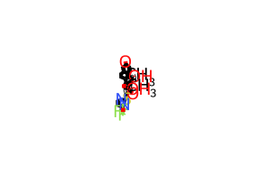 CC12C=CC(=O)C=C1CCC1C2[C@@H](O)CC2(C)C1CC[C@]2(O)C(=O)CSc1nccc(C(F)(F)F)n1